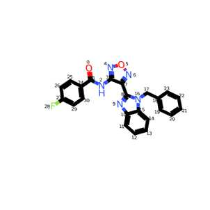 O=C(Nc1nonc1-c1nc2ccccc2n1Cc1ccccc1)c1ccc(F)cc1